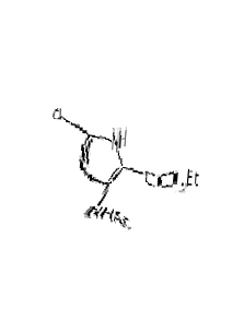 CCOC(=O)c1[nH]c(Cl)cc1NC(C)=O